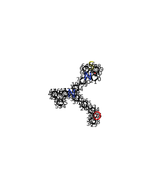 c1ccc(N(c2ccc(-c3ccc4c(c3)c3cc(-c5ccc(-c6ccc7oc8ccccc8c7c6)cc5)ccc3n4-c3ccc4c5ccccc5c5ccccc5c4c3)cc2)c2cccc3sc4ccccc4c23)cc1